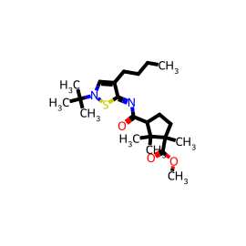 CCCCc1cn(C(C)(C)C)sc1=NC(=O)C1CCC(C)(C(=O)OC)C1(C)C